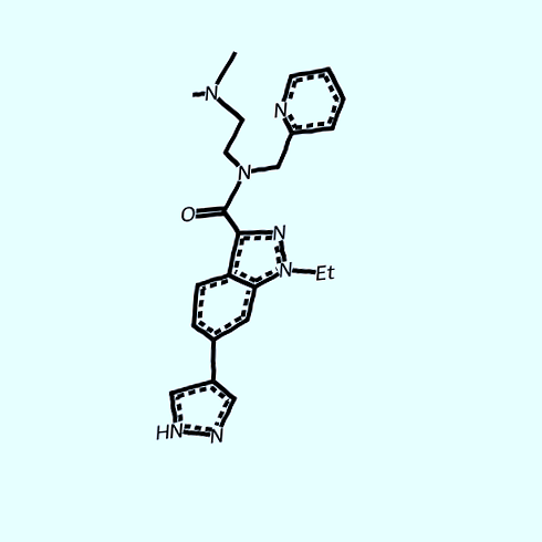 CCn1nc(C(=O)N(CCN(C)C)Cc2ccccn2)c2ccc(-c3cn[nH]c3)cc21